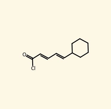 O=C(Cl)/C=C/C=C/C1CCCCC1